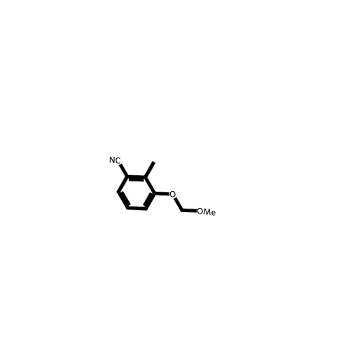 COCOc1cccc(C#N)c1C